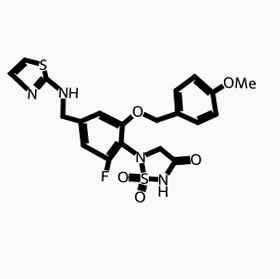 COc1ccc(COc2cc(CNc3nccs3)cc(F)c2N2CC(=O)NS2(=O)=O)cc1